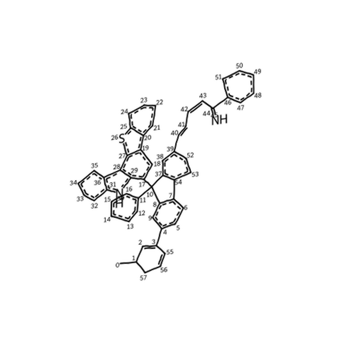 CC1C=C(c2ccc3c(c2)C(c2ccccc2)(c2cc4c5ccccc5sc4c4c2[nH]c2ccccc24)c2cc(/C=C/C=C\C(=N)c4ccccc4)ccc2-3)C=CC1